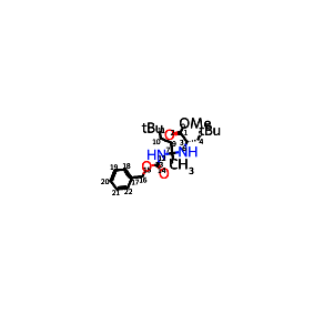 COC(=O)[C@H](CC(C)(C)C)NC(C)(CCC(C)(C)C)NC(=O)OCc1ccccc1